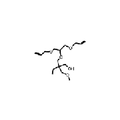 C=CCOCC(COCC=C)OCC(CC)(CO)COC